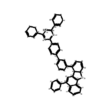 C1=CCCC(C2=NC(c3ccc(-c4cccc(C5=CC=CC6Oc7c(cc(-c8ccccc8)c8ccccc78)C56)c4)cc3)=NC(C3=CCCC=C3)N2)=C1